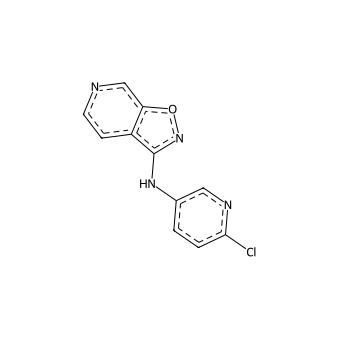 Clc1ccc(Nc2noc3cnccc23)cn1